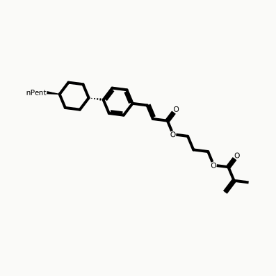 C=C(C)C(=O)OCCCOC(=O)/C=C/c1ccc([C@H]2CC[C@H](CCCCC)CC2)cc1